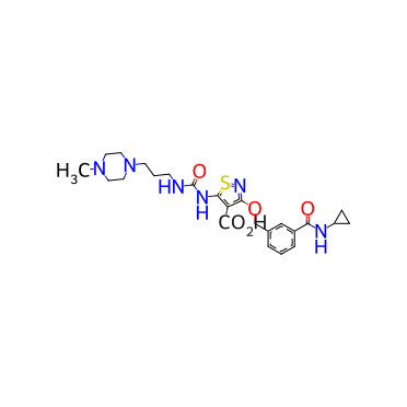 CN1CCN(CCCNC(=O)Nc2snc(OCc3cccc(C(=O)NC4CC4)c3)c2C(=O)O)CC1